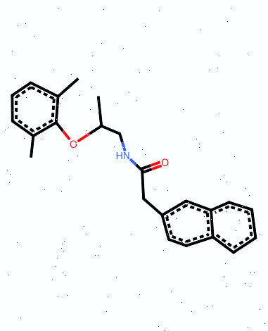 Cc1cccc(C)c1OC(C)CNC(=O)Cc1ccc2ccccc2c1